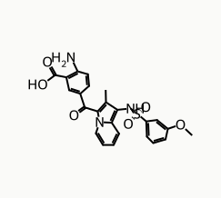 COc1cccc(S(=O)(=O)Nc2c(C)c(C(=O)c3ccc(N)c(C(=O)O)c3)n3ccccc23)c1